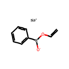 C=COB([O-])c1ccccc1.[Na+]